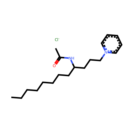 CCCCCCCCC(CCC[n+]1ccccc1)NC(C)=O.[Cl-]